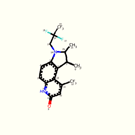 CC1c2c(ccc3[nH]c(=O)cc(C(F)(F)F)c23)N(CC(F)(F)C(F)(F)F)C1C